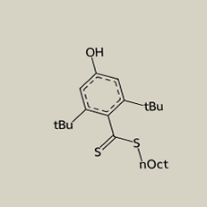 CCCCCCCCSC(=S)c1c(C(C)(C)C)cc(O)cc1C(C)(C)C